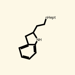 CCCCCCCCCC1Cc2ccccc2N1